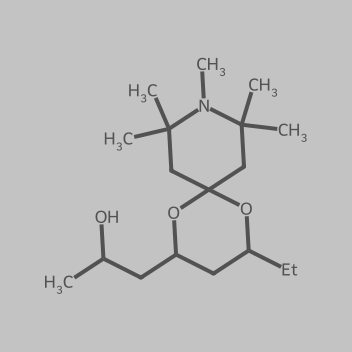 CCC1CC(CC(C)O)OC2(CC(C)(C)N(C)C(C)(C)C2)O1